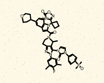 Cc1cc(-n2nc3c(c2-n2ccn(-c4ccc(P(C)(C)=O)cc4)c2=O)C(C)N(C(=O)c2cc4cc(C5CCOCC5)ccc4n2C2(c4noc(=O)[nH]4)CCC2)CC3)cc(C)c1F